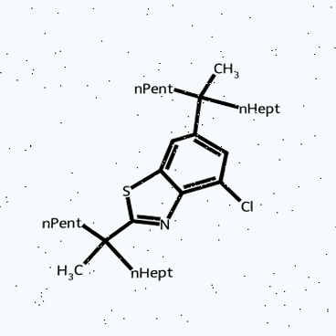 CCCCCCCC(C)(CCCCC)c1cc(Cl)c2nc(C(C)(CCCCC)CCCCCCC)sc2c1